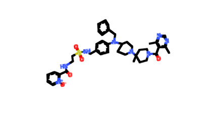 Cc1ncnc(C)c1C(=O)N1CCC(C)(N2CCC(N(Cc3ccccc3)c3ccc(CNS(=O)(=O)CCNC(=O)c4cccc[n+]4[O-])cc3)CC2)CC1